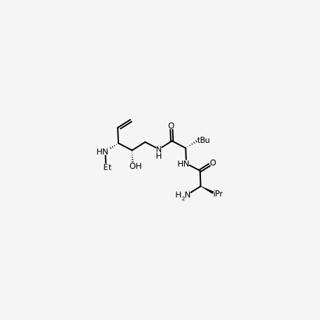 C=C[C@@H](NCC)[C@@H](O)CNC(=O)[C@@H](NC(=O)[C@H](N)C(C)C)C(C)(C)C